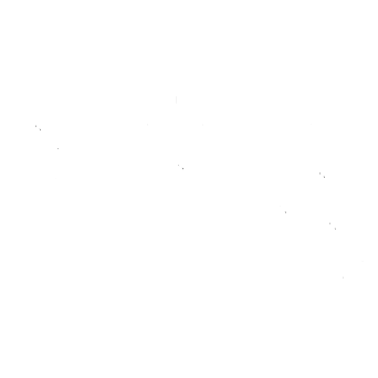 Cc1cc(Nc2nccc(C(F)(F)F)n2)cc(-c2cnc(C3(O)CCC(C(=O)N(C)C)CC3)s2)c1